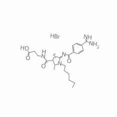 Br.CCCCCCN1C(=NC(=O)c2ccc(C(=N)N)cc2)SC(C(=O)NCCC(=O)O)C1C